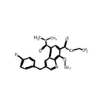 CCOC(=O)c1cc(C(=O)N(C)C)c2cc(Cc3ccc(F)cc3)cnc2c1OC